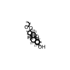 CCC(=O)O[C@H]1CC[C@H]2[C@@H]3CCc4cc(O)ccc4[C@H]3CC[C@]12C